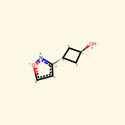 O[C@H]1C[C@H](c2ccon2)C1